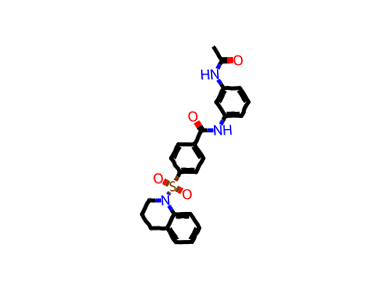 CC(=O)Nc1cccc(NC(=O)c2ccc(S(=O)(=O)N3CCCc4ccccc43)cc2)c1